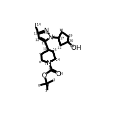 CC(C)(C)OC(=O)N1CCC(c2cc(I)nn2C2CCC(O)C2)CC1